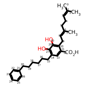 CC(C)=CCC/C(C)=C/Cc1c(C(=O)O)cc(CCCCCCc2ccccc2)c(O)c1O